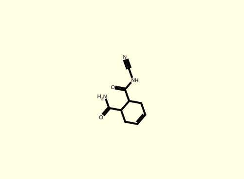 N#CNC(=O)C1CC=CCC1C(N)=O